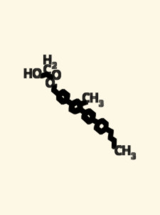 C=C(CO)C(=O)OCCc1ccc(-c2ccc(-c3ccc(C4CCC(CCCCC)CC4)cc3)c(CC)c2)cc1